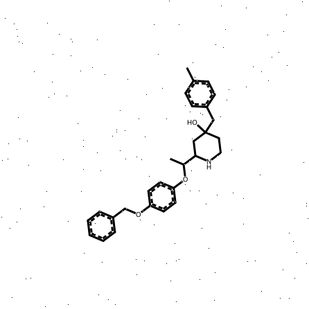 Cc1ccc(CC2(O)CCNC(C(C)Oc3ccc(OCc4ccccc4)cc3)C2)cc1